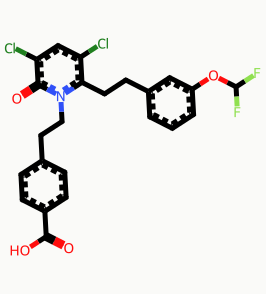 O=C(O)c1ccc(CCn2c(CCc3cccc(OC(F)F)c3)c(Cl)cc(Cl)c2=O)cc1